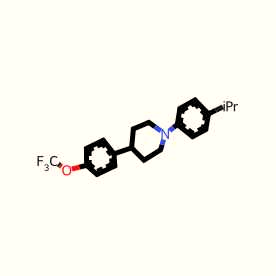 CC(C)c1ccc(N2CCC(c3ccc(OC(F)(F)F)cc3)CC2)cc1